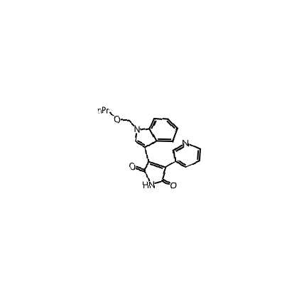 CCCOCn1cc(C2=C(c3cccnc3)C(=O)NC2=O)c2ccccc21